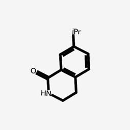 CC(C)c1ccc2c(c1)C(=O)NCC2